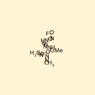 COc1cc(N2CCN(C)CC2)c(-c2cnn(C)c2)cc1Nc1cc(Nc2ccnc(-c3ccccc3F)c2)ncn1